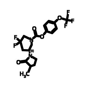 CC1CCN([C@H]2CN(C(=O)Oc3ccc(OC(F)(F)F)cc3)CC(F)(F)C2)C1=O